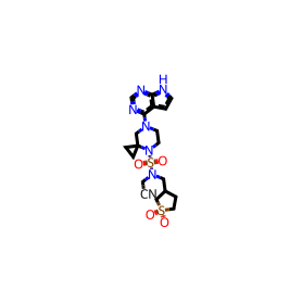 N#CCN(CC1CCS(=O)(=O)C1)S(=O)(=O)N1CCN(c2ncnc3[nH]ccc23)CC12CC2